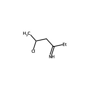 [CH2]CC(=N)CC(C)Cl